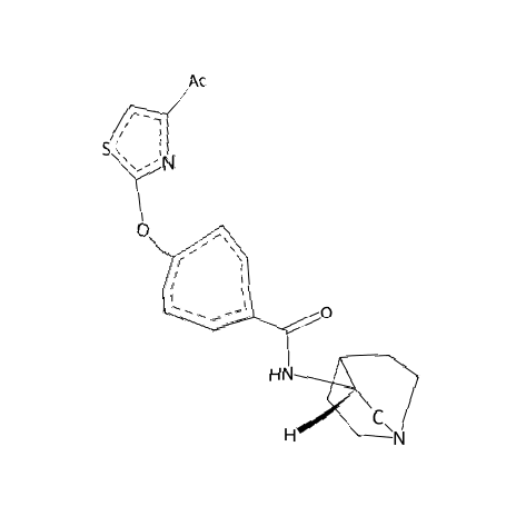 CC(=O)c1csc(Oc2ccc(C(=O)N[C@H]3CN4CCC3CC4)cc2)n1